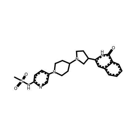 CS(=O)(=O)Nc1ccc(N2CCC(N3CCC(c4cc5ccccc5c(=O)[nH]4)C3)CC2)cn1